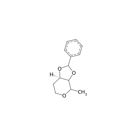 CC1OCC[C@H]2OC(c3ccccc3)OC12